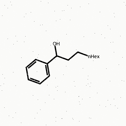 CCCCCCCC[C](O)c1ccccc1